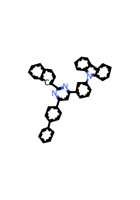 c1ccc(-c2ccc(-c3cc(-c4cccc(-n5c6ccccc6c6ccccc65)c4)nc(-c4ccc5ccccc5c4)n3)cc2)cc1